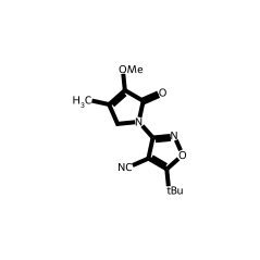 COC1=C(C)CN(c2noc(C(C)(C)C)c2C#N)C1=O